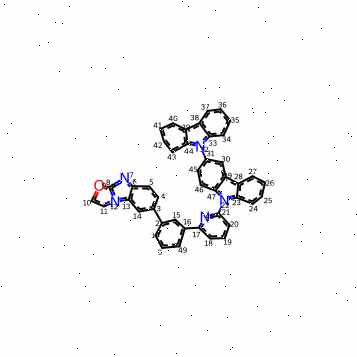 c1cc(-c2ccc3nc4occn4c3c2)cc(-c2cccc(-n3c4ccccc4c4cc(-n5c6ccccc6c6ccccc65)ccc43)n2)c1